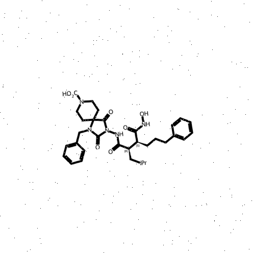 CC(C)C[C@@H](C(=O)NN1C(=O)N(Cc2ccccc2)C2(CCN(C(=O)O)CC2)C1=O)[C@H](CCCc1ccccc1)C(=O)NO